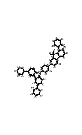 CC1(C)c2cc(-c3ccc(-n4c5ccc(-c6ccccc6)cc5c5cc(-c6ccccc6)ccc54)cc3)ccc2-c2ccc3sc4ccccc4c3c21